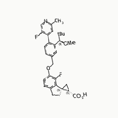 CO[C@@H](c1cc(COc2ccc3c(c2F)[C@@]2(CC3)C[C@@H]2C(=O)O)ccc1-c1cc(C)ncc1F)C(C)(C)C